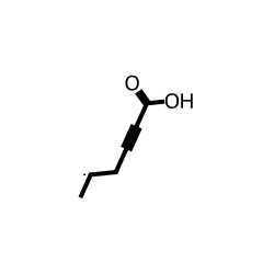 C[CH]CC#CC(=O)O